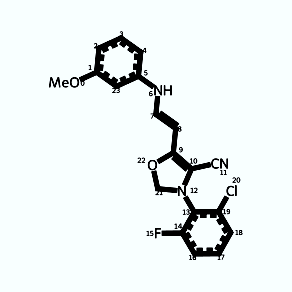 COc1cccc(NC=CC2=C(C#N)N(c3c(F)cccc3Cl)CO2)c1